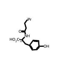 CC(C)CCC(=O)N[C@@H](Cc1ccc(O)cc1)C(=O)O